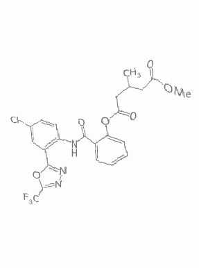 COC(=O)CC(C)CC(=O)Oc1ccccc1C(=O)Nc1ccc(Cl)cc1-c1nnc(C(F)(F)F)o1